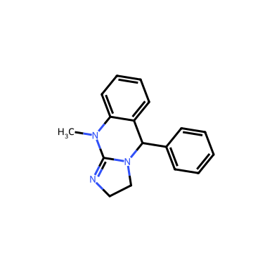 CN1C2=NCCN2C(c2ccccc2)c2ccccc21